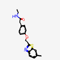 CCNC(=O)Cc1ccc(OCc2nc3ccc(C)cc3s2)cc1